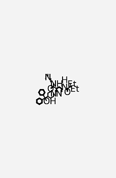 CCC(CC)C(=O)Nc1cnc(N2CCC(C(O)(c3ccccc3)c3ccccc3)CC2)c(C(=O)NCCN(C)C)c1